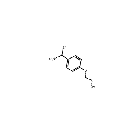 CCC(N)c1ccc(OCCC(C)C)cc1